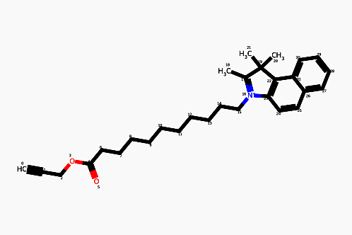 C#CCOC(=O)CCCCCCCCCC[N+]1=C(C)C(C)(C)c2c1ccc1ccccc21